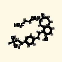 CC(CSc1ccc(CSc2c(Cl)ccc3c2CCNCC3)cc1)(C(F)(F)F)C(F)(F)F.O=C(O)CCC(=O)O